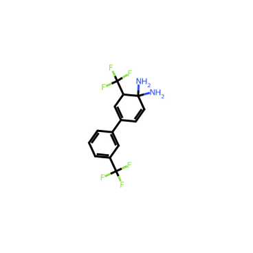 NC1(N)C=CC(c2cccc(C(F)(F)F)c2)=CC1C(F)(F)F